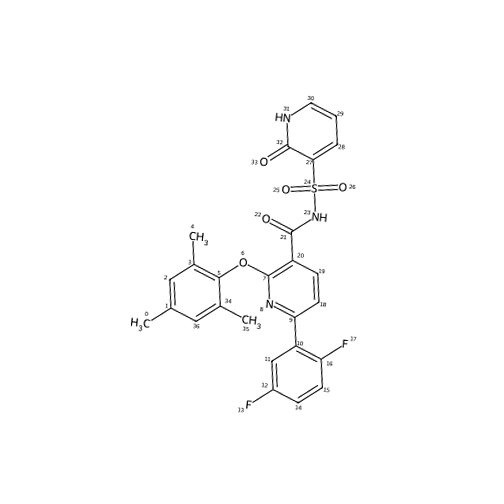 Cc1cc(C)c(Oc2nc(-c3cc(F)ccc3F)ccc2C(=O)NS(=O)(=O)c2ccc[nH]c2=O)c(C)c1